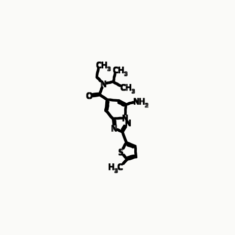 CCN(C(=O)c1cc(N)n2nc(-c3ccc(C)s3)nc2c1)C(C)C